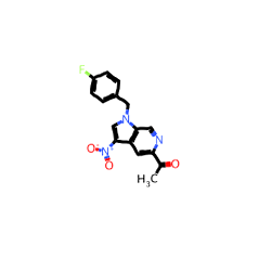 CC(=O)c1cc2c([N+](=O)[O-])cn(Cc3ccc(F)cc3)c2cn1